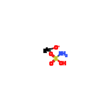 CC(=O)[O-].NS(=O)(=O)O.[K+]